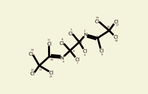 ClC(=NC(Cl)(Cl)C(Cl)(Cl)N=C(Cl)C(Cl)(Cl)Cl)C(Cl)(Cl)Cl